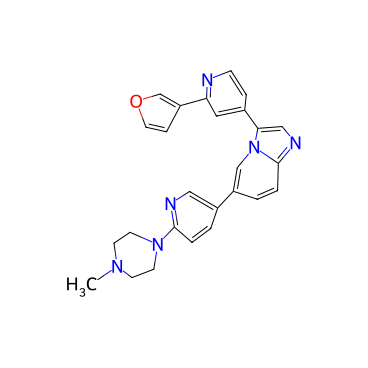 CN1CCN(c2ccc(-c3ccc4ncc(-c5ccnc(-c6ccoc6)c5)n4c3)cn2)CC1